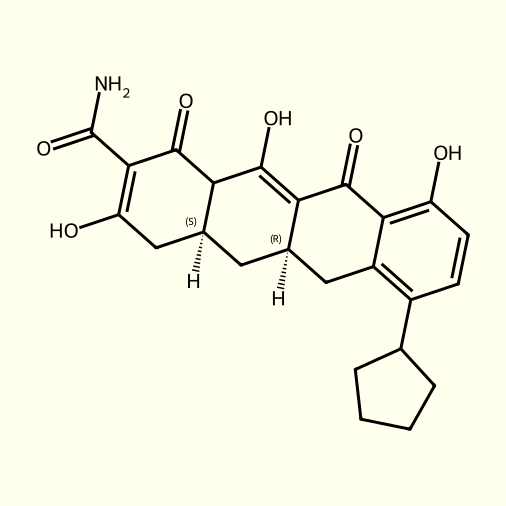 NC(=O)C1=C(O)C[C@@H]2C[C@@H]3Cc4c(C5CCCC5)ccc(O)c4C(=O)C3=C(O)C2C1=O